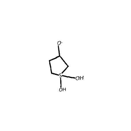 [O]C1CCS(O)(O)C1